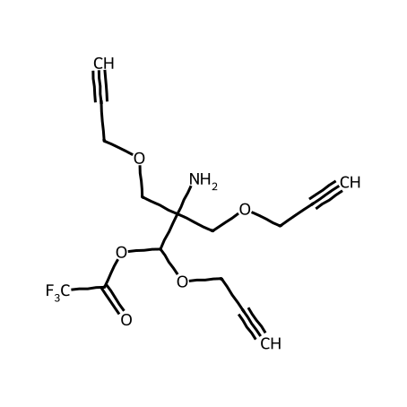 C#CCOCC(N)(COCC#C)C(OCC#C)OC(=O)C(F)(F)F